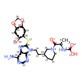 C[C@@H](NC(=O)O)C(=O)N1CCC[C@@H](CCn2c(Sc3cc4c(cc3Br)OCO4)nc3c(N)ncnc32)C1